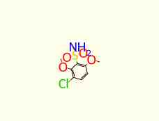 COc1ccc(Cl)c(OC)c1S(N)(=O)=O